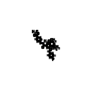 COC(=O)c1ccc(/C=C/C(=O)c2cc(OCc3ccc(F)cc3)c3c(c2)C(C)(C)CCC3(C)C)cc1